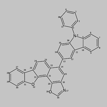 c1ccc(-n2c3ccccc3c3cc(-c4cc5ncoc5c5c4ccc4c6ccccc6oc45)ccc32)cc1